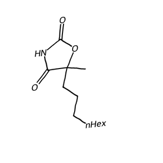 CCCCCCCCCC1(C)OC(=O)NC1=O